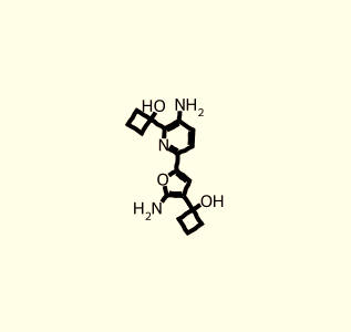 Nc1ccc(-c2cc(C3(O)CCC3)c(N)o2)nc1C1(O)CCC1